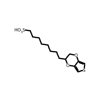 O=S(=O)(O)CCCCCCCCC1COc2cscc2O1